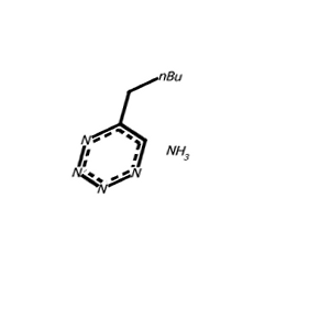 CCCCCc1cnnnn1.N